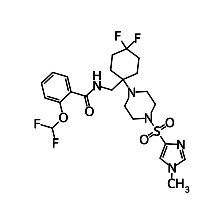 Cn1cnc(S(=O)(=O)N2CCN(C3(CNC(=O)c4ccccc4OC(F)F)CCC(F)(F)CC3)CC2)c1